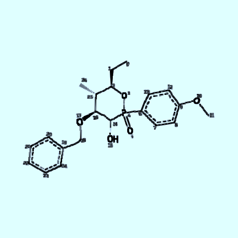 CC[C@H]1OP(=O)(c2ccc(OC)cc2)C(O)[C@@H](OCc2ccccc2)[C@@H]1C